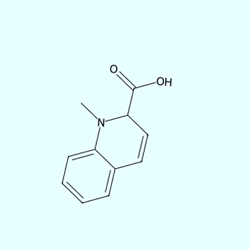 CN1c2ccccc2C=CC1C(=O)O